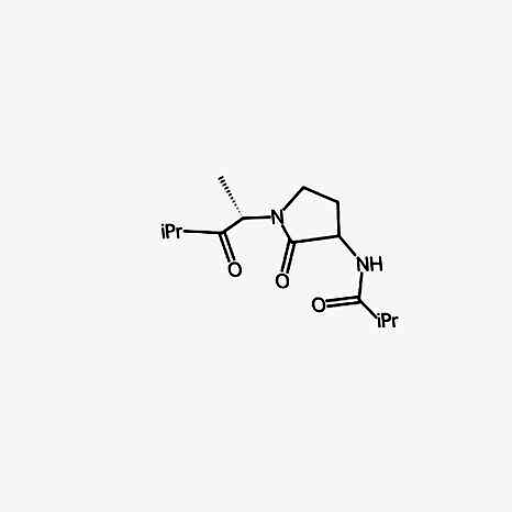 CC(C)C(=O)NC1CCN([C@@H](C)C(=O)C(C)C)C1=O